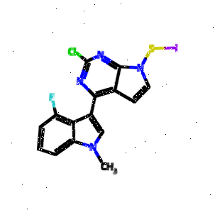 Cn1cc(-c2nc(Cl)nc3c2ccn3SI)c2c(F)cccc21